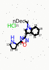 CCCCCCCCCCCn1cc(-c2noc(C3CCCN3)n2)c2ccccc21.Cl